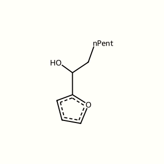 CCCCCCC(O)c1ccco1